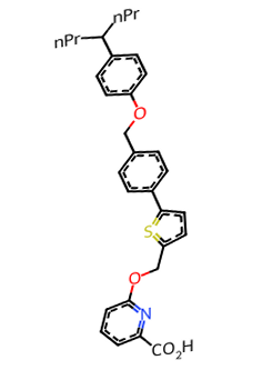 CCCC(CCC)c1ccc(OCc2ccc(-c3ccc(COc4cccc(C(=O)O)n4)s3)cc2)cc1